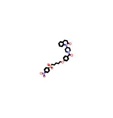 O=C(c1ccc(OCCCCCS(=O)(=O)c2ccc([N+](=O)[O-])cc2)cc1)N1CCC(N2C(=O)CCc3ccccc32)CC1